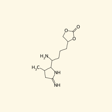 CC1CC(=N)NC1C(N)CCCC1COC(=O)O1